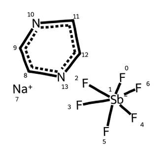 [F][Sb-]([F])([F])([F])([F])[F].[Na+].c1cnccn1